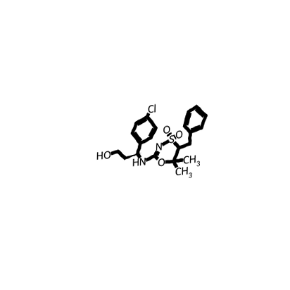 CC1(C)OC(N[C@@H](CCO)c2ccc(Cl)cc2)=NS(=O)(=O)C1Cc1ccccc1